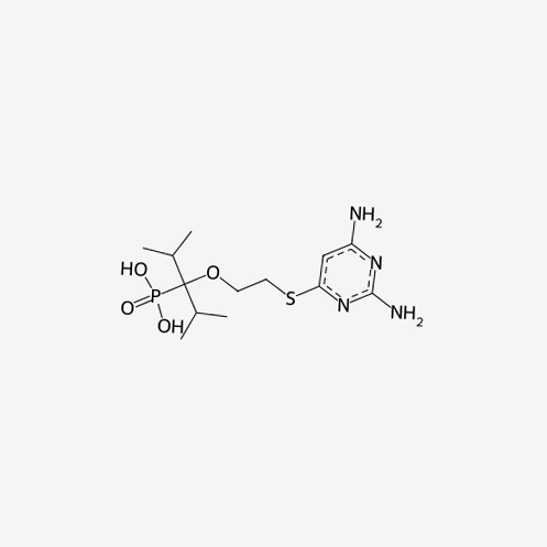 CC(C)C(OCCSc1cc(N)nc(N)n1)(C(C)C)P(=O)(O)O